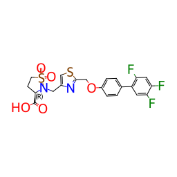 O=C(O)[C@H]1CCS(=O)(=O)N1Cc1csc(COc2ccc(-c3cc(F)c(F)cc3F)cc2)n1